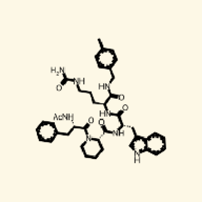 CC(=O)N[C@@H](Cc1ccccc1)C(=O)N1CCCC[C@H]1C(=O)N[C@@H](Cc1c[nH]c2ccccc12)C(=O)N[C@@H](CCCNC(N)=O)C(=O)NCc1ccc(C)cc1